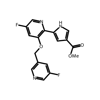 COC(=O)c1c[nH]c(-c2ncc(F)cc2OCc2cncc(F)c2)c1